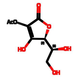 CC(=O)OC1=C(O)[C@@H]([C@@H](O)CO)OC1=O